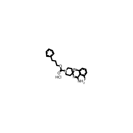 Cl.NC1=NC2(CCN(C(=O)OCCCc3ccccc3)CC2)Nc2cccc(F)c21